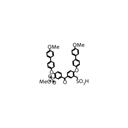 COc1ccc(-c2ccc(Oc3ccc(C(=O)c4ccc(Oc5ccc(-c6ccc(OC)cc6)cc5)c(S(=O)(=O)OC)c4)cc3CS(=O)(=O)O)cc2)cc1